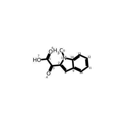 Cn1c(C(=O)C(=O)O)cc2ccccc21